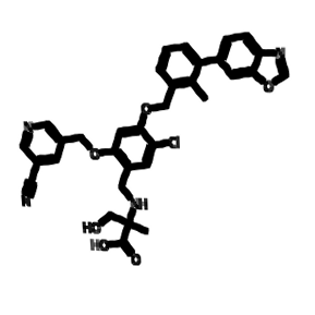 Cc1c(COc2cc(OCc3cncc(C#N)c3)c(CNC(C)(CO)C(=O)O)cc2Cl)cccc1-c1ccc2ncoc2c1